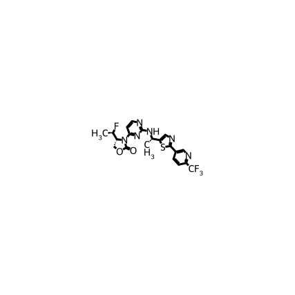 C[C@H](Nc1nccc(N2C(=O)OC[C@@H]2[C@@H](C)F)n1)c1cnc(-c2ccc(C(F)(F)F)nc2)s1